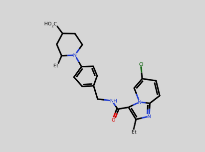 CCc1nc2ccc(Cl)cn2c1C(=O)NCc1ccc(N2CCC(C(=O)O)CC2CC)cc1